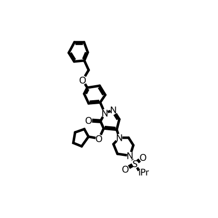 CC(C)S(=O)(=O)N1CCN(c2cnn(-c3ccc(OCc4ccccc4)cc3)c(=O)c2OC2CCCC2)CC1